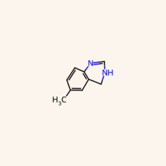 Cc1ccc2c(c1)CNC=N2